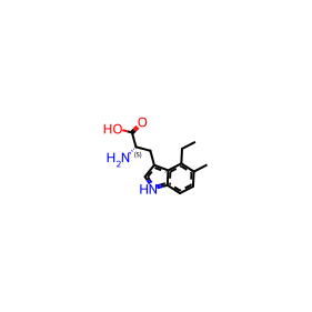 CCc1c(C)ccc2[nH]cc(C[C@H](N)C(=O)O)c12